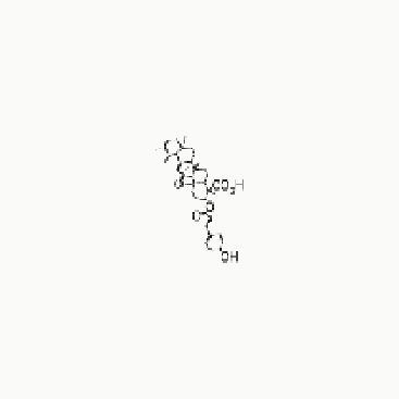 C[C@@H]1CC[C@]2(C)CC[C@]3(C)C(=CC(=O)C4[C@@]5(C)CC[C@@H](OC(=O)/C=C/C6=CCC(O)C=C6)[C@](C)(C(=O)O)C5CC[C@]43C)C2[C@H]1C